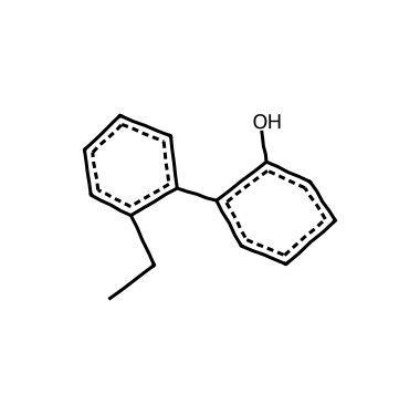 CCc1ccccc1-c1ccccc1O